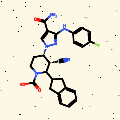 N#C[C@@H]1C(C2Cc3ccccc3C2)N(C(=O)O)CC[C@@H]1n1cc(C(N)=O)c(Nc2ccc(F)cc2)n1